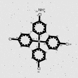 Clc1ccc([B-](c2ccc(Cl)cc2)(c2ccc(Cl)cc2)c2ccc(Cl)cc2)cc1.[NH4+]